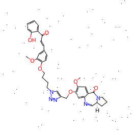 COc1cc(/C=C/C(=O)c2ccccc2O)ccc1OCCCCn1cc(COc2cc3c(cc2OC)C(=O)N2CCC[C@H]2C=N3)nn1